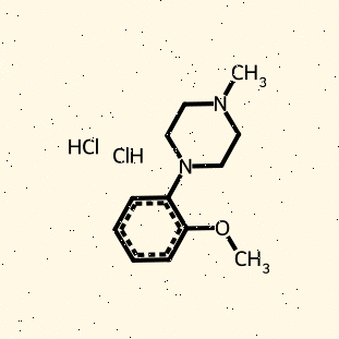 COc1ccccc1N1CCN(C)CC1.Cl.Cl